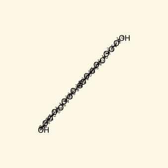 OCCOCCOCCOCCOCCOCCOCCOCCOSOCCOCCOCCOCCOCCOCCOCCOCCO